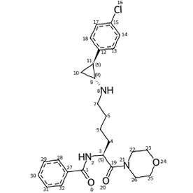 O=C(N[C@@H](CCCCN[C@@H]1C[C@H]1c1ccc(Cl)cc1)C(=O)N1CCOCC1)c1ccccc1